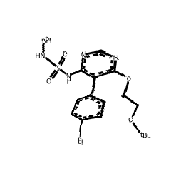 CCCNS(=O)(=O)Nc1ncnc(OCCOC(C)(C)C)c1-c1ccc(Br)cc1